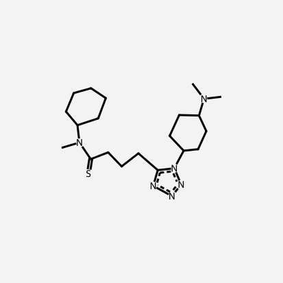 CN(C)C1CCC(n2nnnc2CCCC(=S)N(C)C2CCCCC2)CC1